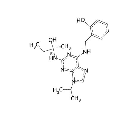 CC[C@@](C)(O)Nc1nc(NCc2ccccc2O)c2ncn(C(C)C)c2n1